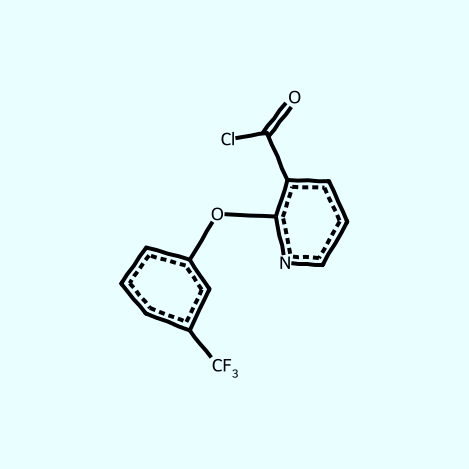 O=C(Cl)c1cccnc1Oc1cccc(C(F)(F)F)c1